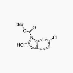 CC(C)(C)OC(=O)n1c(O)cc2ccc(Cl)cc21